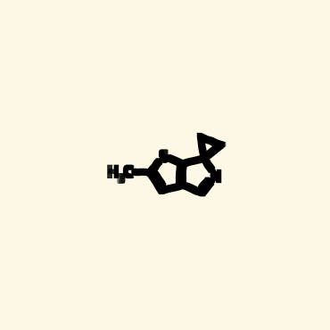 Cc1cc2c(s1)C1(CC1)N=C2